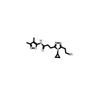 Cc1noc(NC(=O)CCc2nnc(CCC(C)C)n2C2CC2)c1C